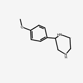 COc1ccc(C2CNC[CH]N2)cc1